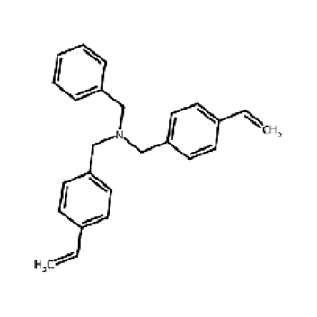 C=Cc1ccc(CN(Cc2ccccc2)Cc2ccc(C=C)cc2)cc1